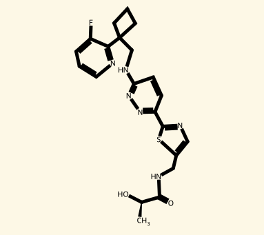 C[C@@H](O)C(=O)NCc1cnc(-c2ccc(NCC3(c4ncccc4F)CCC3)nn2)s1